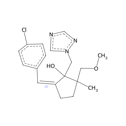 COCC1(C)CC/C(=C/c2ccc(Cl)cc2)C1(O)Cn1cncn1